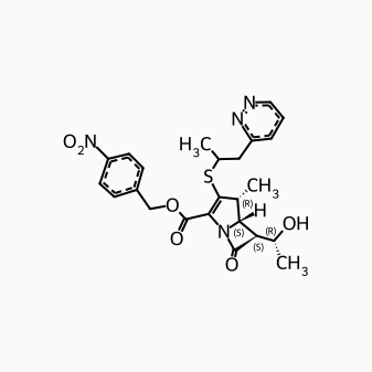 CC(Cc1cccnn1)SC1=C(C(=O)OCc2ccc([N+](=O)[O-])cc2)N2C(=O)[C@H]([C@@H](C)O)[C@H]2[C@H]1C